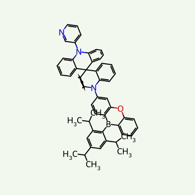 CC(C)c1cc(C(C)C)c(B2c3ccccc3Oc3cc(N4c5ccccc5C5(c6ccccc6N(c6cccnc6)c6ccccc65)c5ccccc54)ccc32)c(C(C)C)c1